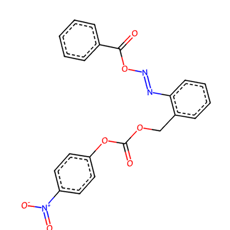 O=C(OCc1ccccc1N=NOC(=O)c1ccccc1)Oc1ccc([N+](=O)[O-])cc1